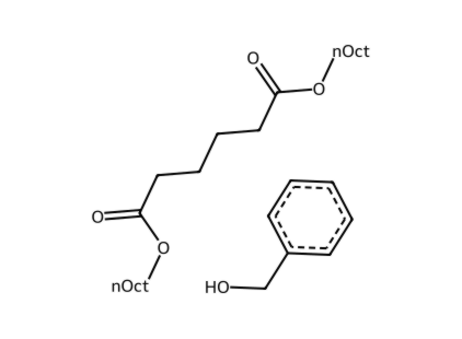 CCCCCCCCOC(=O)CCCCC(=O)OCCCCCCCC.OCc1ccccc1